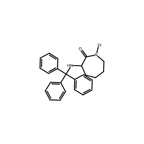 CCN1CCCCC(NC(c2ccccc2)(c2ccccc2)c2ccccc2)C1=O